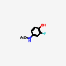 CC(=O)ONc1ccc(O)c(F)c1